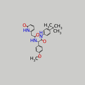 COc1ccc(C(NC(=O)Cc2cccc(=O)[nH]2)C(=O)Nc2ccc(C(C)(C)C)cc2)cc1